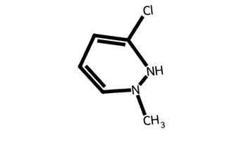 CN1C=CC=C(Cl)N1